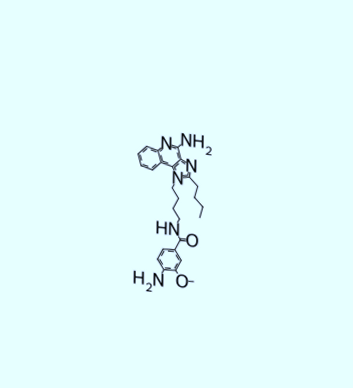 CCCCc1nc2c(N)nc3ccccc3c2n1CCCCNC(=O)c1ccc(N)c(OC)c1